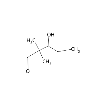 CCC(O)C(C)(C)C=O